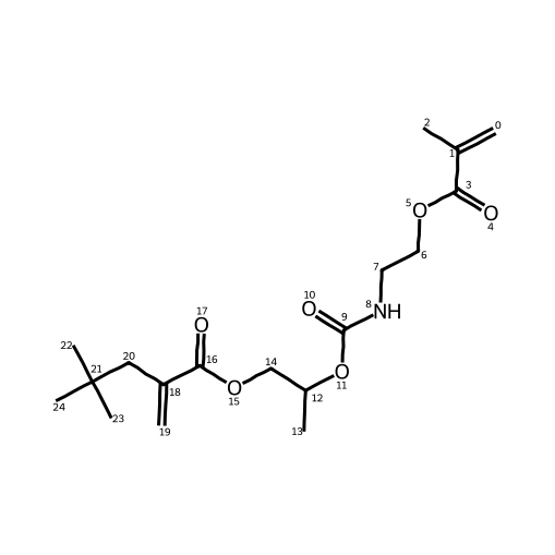 C=C(C)C(=O)OCCNC(=O)OC(C)COC(=O)C(=C)CC(C)(C)C